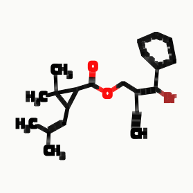 C#CC(COC(=O)C1C(C=C(C)C)C1(C)C)=C(Br)c1ccccc1